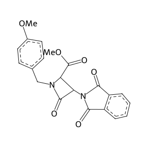 COC(=O)C1C(N2C(=O)c3ccccc3C2=O)C(=O)N1Cc1ccc(OC)cc1